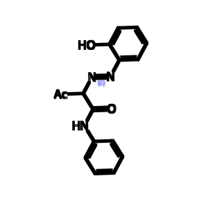 CC(=O)C(/N=N/c1ccccc1O)C(=O)Nc1ccccc1